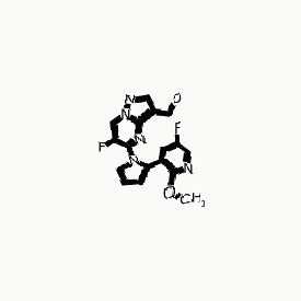 COc1ncc(F)cc1C1=CCCN1c1nc2c(C=O)cnn2cc1F